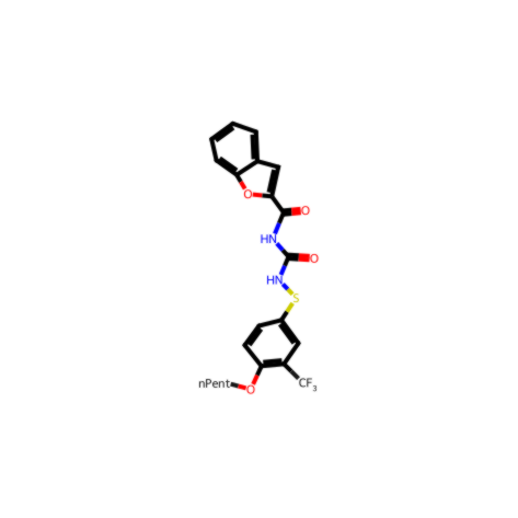 CCCCCOc1ccc(SNC(=O)NC(=O)c2cc3ccccc3o2)cc1C(F)(F)F